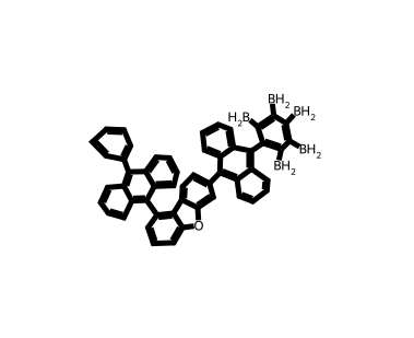 Bc1c(B)c(B)c(-c2c3ccccc3c(-c3ccc4c(c3)oc3cccc(-c5c6ccccc6c(-c6ccccc6)c6ccccc56)c34)c3ccccc23)c(B)c1B